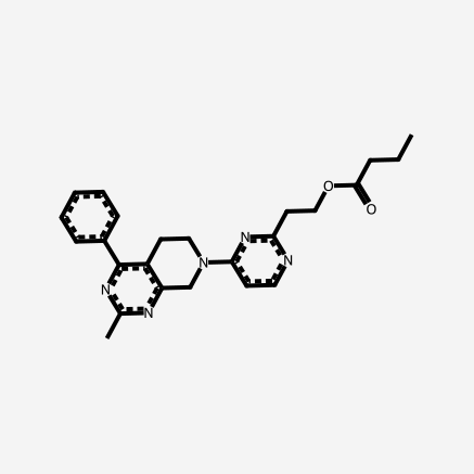 CCCC(=O)OCCc1nccc(N2CCc3c(nc(C)nc3-c3ccccc3)C2)n1